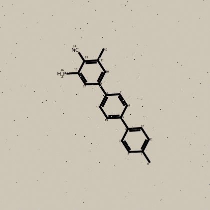 Cc1ccc(-c2ccc(-c3cc(C)c(C#N)c(P)c3)cc2)cc1